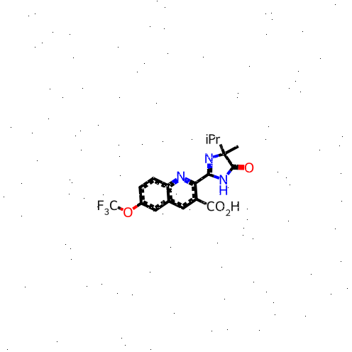 CC(C)C1(C)N=C(c2nc3ccc(OC(F)(F)F)cc3cc2C(=O)O)NC1=O